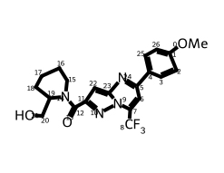 COc1ccc(-c2cc(C(F)(F)F)n3nc(C(=O)N4CCCCC4CO)cc3n2)cc1